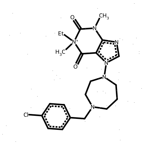 CC[N+]1(C)C(=O)c2c(ncn2N2CCCN(Cc3ccc(Cl)cc3)CC2)N(C)C1=O